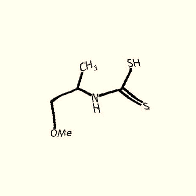 COCC(C)NC(=S)S